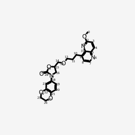 COc1ccc2nccc(CCCOCC3CN(c4ccc5c(c4)OCCO5)C(=O)O3)c2n1